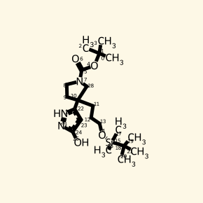 CC(C)(C)OC(=O)N1CCC(CCCO[Si](C)(C)C(C)(C)C)(c2cc(O)n[nH]2)C1